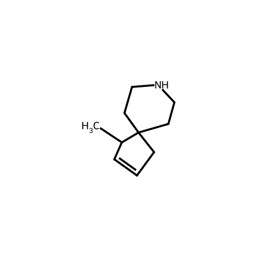 CC1C=CCC12CCNCC2